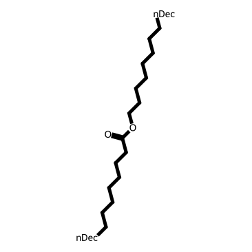 CCCCCCCCCCCCCCCCCCOC(=O)CCCCCCCCCCCCCCCCC